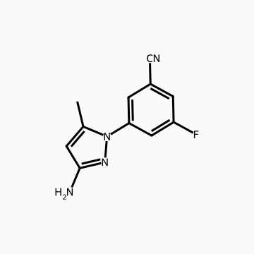 Cc1cc(N)nn1-c1cc(F)cc(C#N)c1